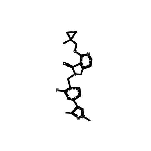 Cc1nn(C)cc1-c1ccc(CN2Cc3ccnc(OCC4(C)CC4)c3C2=O)c(F)c1